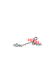 CCCCCCCCCCCCCCCCCCC(CCCCCCCCC)C(O)(O)c1ccccc1